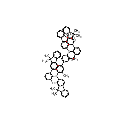 Cc1cc(-c2ccc(N(c3ccc4c(c3)C(C)(C)c3ccccc3-4)c3c(C)cccc3-c3ccc4c(c3)C(C)(C)c3ccccc3-4)c(C)c2)ccc1N(c1ccc2c(c1)C(C)(C)c1ccccc1-2)c1c(C)cccc1-c1ccc2c(c1)C(C)(C)c1ccccc1-2